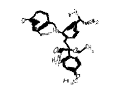 CCOC(Cc1ccc(C(=N)N)cc1NCc1ccc(Cl)cc1F)(C(N)=O)c1ccc(OC)cc1F.Cl